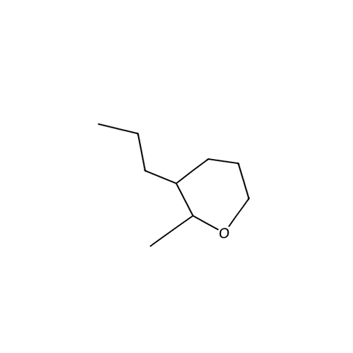 CCCC1CCCOC1C